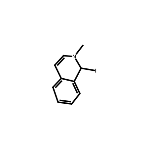 CN1C=Cc2ccccc2C1I